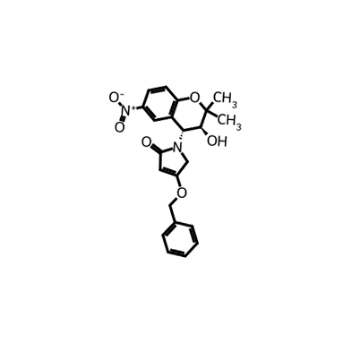 CC1(C)Oc2ccc([N+](=O)[O-])cc2[C@@H](N2CC(OCc3ccccc3)=CC2=O)[C@@H]1O